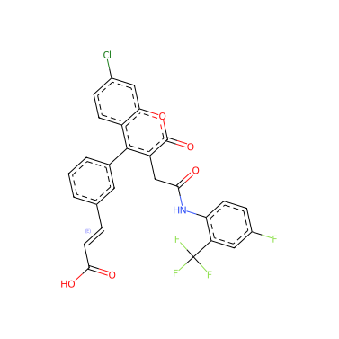 O=C(O)/C=C/c1cccc(-c2c(CC(=O)Nc3ccc(F)cc3C(F)(F)F)c(=O)oc3cc(Cl)ccc23)c1